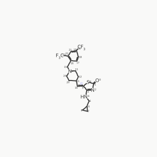 O=C1N=C(NCC2CC2)/C(=C/C2CCN(Cc3ccc(C(F)(F)F)cc3C(F)(F)F)CC2)S1